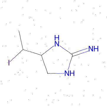 CC(I)C1CNC(=N)N1